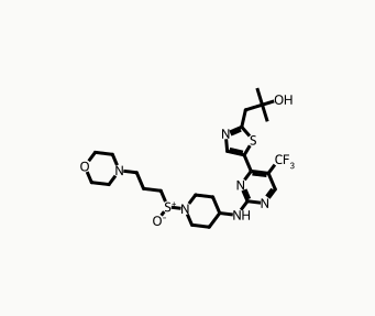 CC(C)(O)Cc1ncc(-c2nc(NC3CCN([S+]([O-])CCCN4CCOCC4)CC3)ncc2C(F)(F)F)s1